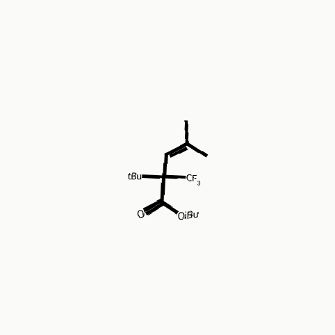 CC(C)=CC(C(=O)OCC(C)C)(C(C)(C)C)C(F)(F)F